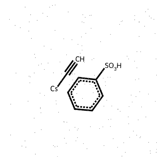 C#[C][Cs].O=S(=O)(O)c1ccccc1